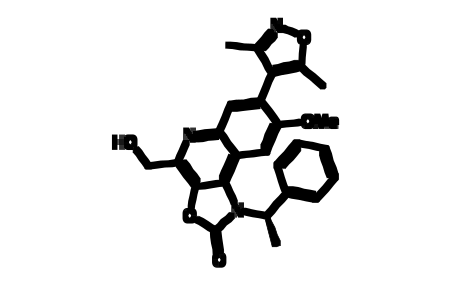 COc1cc2c(cc1-c1c(C)noc1C)nc(CO)c1oc(=O)n([C@H](C)c3ccccc3)c12